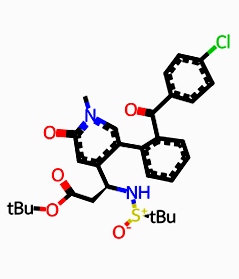 Cn1cc(-c2ccccc2C(=O)c2ccc(Cl)cc2)c([C@H](CC(=O)OC(C)(C)C)N[S@@+]([O-])C(C)(C)C)cc1=O